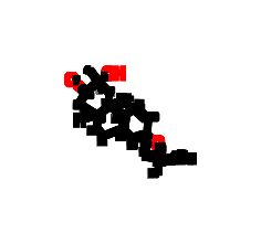 CCC12CC(C)(O)C(=O)C[C@H]1CCc1cc(O[Si](C)(C)C(C)(C)C)ccc12